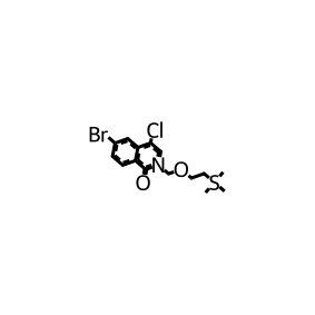 CS(C)(C)CCOCn1cc(Cl)c2cc(Br)ccc2c1=O